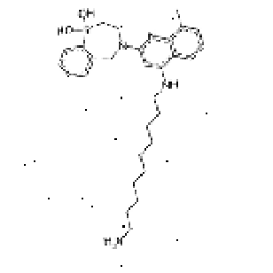 Cc1cccc2c(NCCCCCCCCCCN)cc(N3CCS(O)(O)c4ccccc4C3)nc12